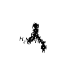 NC(=O)N1CCN(c2nc(CCCN[C@@H]3C[C@H]3c3ccc(F)cc3)cn(-c3ccc(-c4ncccn4)cc3)c2=O)CC1